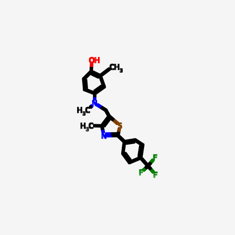 Cc1cc(N(C)Cc2sc(-c3ccc(C(F)(F)F)cc3)nc2C)ccc1O